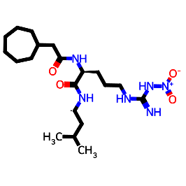 CC(C)C[CH]NC(=O)[C@H](CCCNC(=N)N[N+](=O)[O-])NC(=O)CC1CCCCCC1